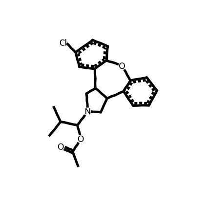 CC(=O)OC(C(C)C)N1CC2c3ccccc3Oc3ccc(Cl)cc3C2C1